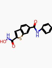 O=C(Nc1ccccc1)c1ccc2cc(C(=O)NO)sc2c1